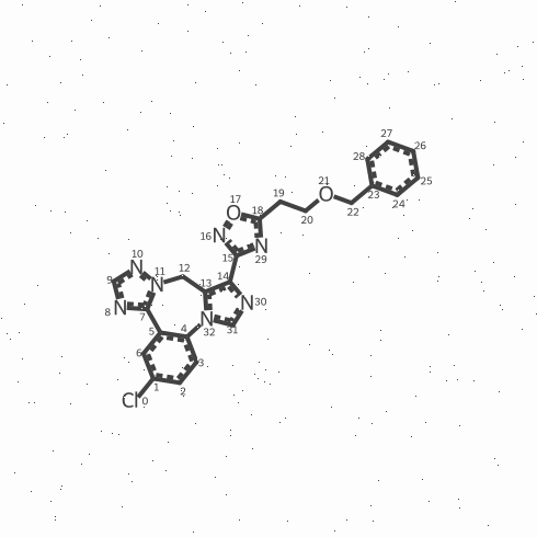 Clc1ccc2c(c1)-c1ncnn1Cc1c(-c3noc(CCOCc4ccccc4)n3)ncn1-2